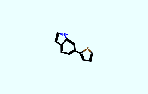 c1csc(-c2ccc3cc[nH]c3c2)c1